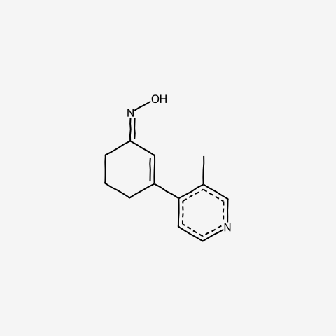 Cc1cnccc1C1=CC(=NO)CCC1